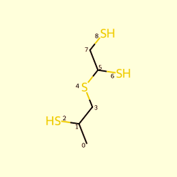 CC(S)CSC(S)CS